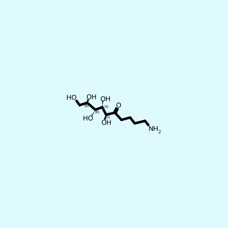 NCCCCC(=O)[C@@H](O)[C@@H](O)[C@H](O)[C@H](O)CO